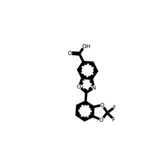 O=C(O)c1ccc2nc(-c3cccc4c3OC(F)(F)O4)oc2c1